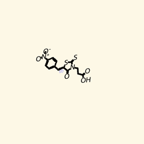 O=C(O)CCN1C(=O)/C(=C/c2ccc([N+](=O)[O-])cc2)SC1=S